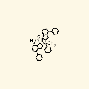 C[Si]1(c2ccccc2)C2=Cc3c(-c4ccccc4)cccc3[CH]2[Hf]([CH3])([CH3])[CH]2C1=Cc1c(-c3ccccc3)cccc12